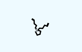 C=CCCC[Si]1(CCCC=C)CCCC1